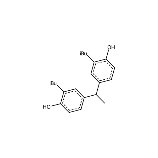 CCC(C)c1cc(C(C)c2ccc(O)c(C(C)CC)c2)ccc1O